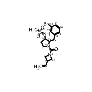 C=CC1CN(C(=O)N2CCC(NS(C)(=O)=O)C2Cc2cccc(Br)c2)C1